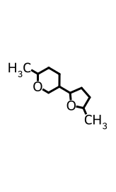 CC1CCC(C2CCC(C)O2)CO1